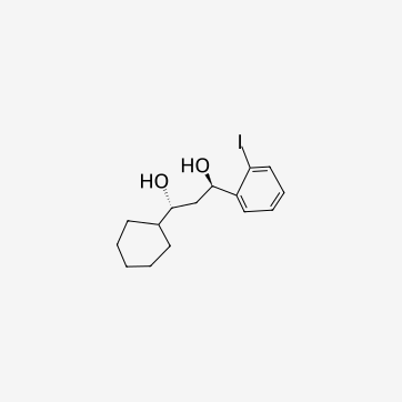 O[C@H](C[C@@H](O)C1CCCCC1)c1ccccc1I